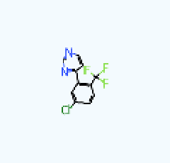 FC(F)(F)c1ccc(Cl)cc1-c1ccncn1